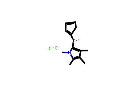 Cc1c(C)[c]([Ti+2][C]2=CC=CC2)n(C)c1C.[Cl-].[Cl-]